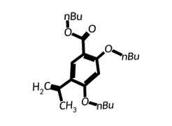 C=C(C)c1cc(C(=O)OCCCC)c(OCCCC)cc1OCCCC